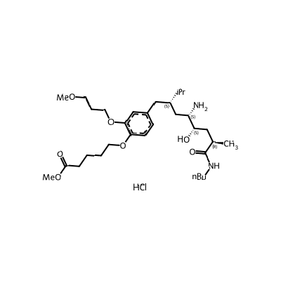 CCCCNC(=O)[C@H](C)C[C@H](O)[C@@H](N)C[C@H](Cc1ccc(OCCCCC(=O)OC)c(OCCCOC)c1)C(C)C.Cl